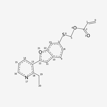 C=CC(=O)OCSc1ccc2cc(-c3cccnc3CC)oc2c1